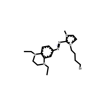 CCN1CCN(CC)c2cc(/N=N/c3n(C)cc[n+]3CCCCBr)ccc21